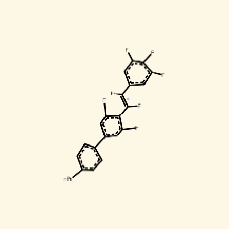 CCCc1ccc(-c2cc(F)c(/C(F)=C(\F)c3cc(F)c(F)c(F)c3)c(F)c2)cc1